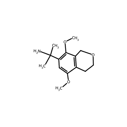 COc1cc(C(C)(C)N)c(OC)c2c1CCOC2